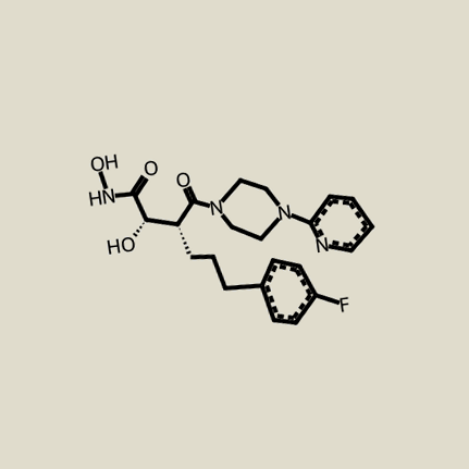 O=C(NO)[C@@H](O)[C@@H](CCCc1ccc(F)cc1)C(=O)N1CCN(c2ccccn2)CC1